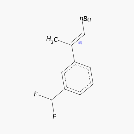 CCCC/C=C(\C)c1cccc(C(F)F)c1